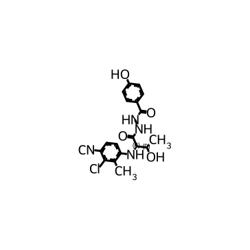 [C-]#[N+]c1ccc(N[C@@H](C(=O)NNC(=O)c2ccc(O)cc2)[C@@H](C)O)c(C)c1Cl